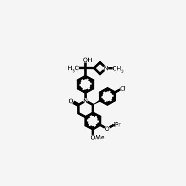 COc1cc2c(cc1OC(C)C)[C@H](c1ccc(Cl)cc1)N(c1ccc(C(C)(O)C3CN(C)C3)cc1)C(=O)C2